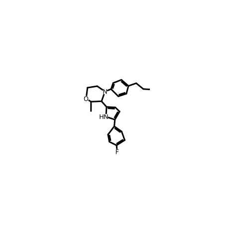 CCCc1ccc(N2CCOC(C)C2c2ccc(-c3ccc(F)cc3)[nH]2)cc1